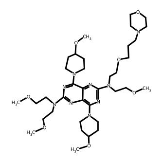 COCCN(CCOC)c1nc(N2CCC(OC)CC2)c2nc(N(CCOC)CCOCCCN3CCOCC3)nc(N3CCC(OC)CC3)c2n1